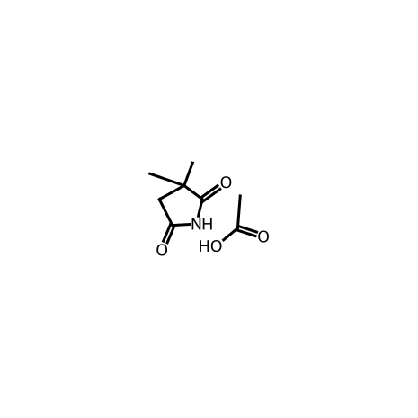 CC(=O)O.CC1(C)CC(=O)NC1=O